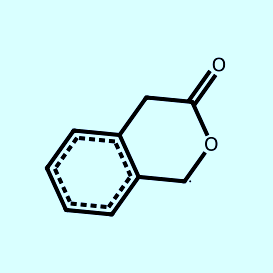 O=C1Cc2ccccc2[CH]O1